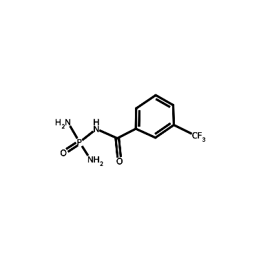 NP(N)(=O)NC(=O)c1cccc(C(F)(F)F)c1